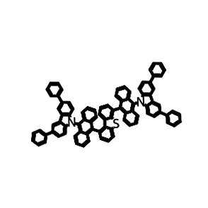 c1ccc(-c2ccc3c(c2)c2cc(-c4ccccc4)ccc2n3-c2c3ccccc3c(-c3cccc4c3sc3cccc(-c5c6ccccc6c(-n6c7ccc(-c8ccccc8)cc7c7cc(-c8ccccc8)ccc76)c6ccccc56)c34)c3ccccc23)cc1